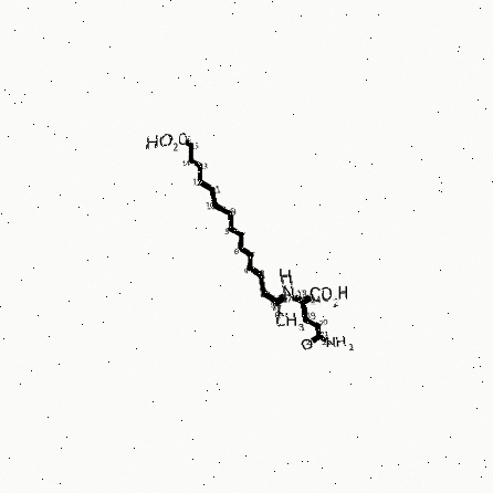 C[C@H](CCCCCCCCCCCCCCC(=O)O)NC(CCC(N)=O)C(=O)O